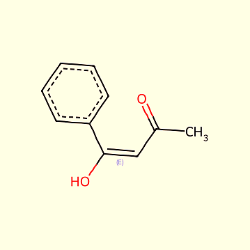 CC(=O)/C=C(/O)c1ccccc1